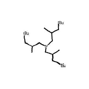 CC(CN(CC(C)CC(C)(C)C)CC(C)CC(C)(C)C)CC(C)(C)C